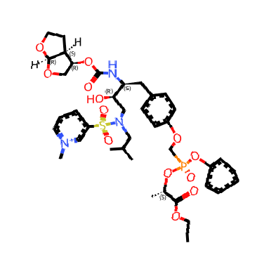 CCOC(=O)[C@H](C)OP(=O)(COc1ccc(C[C@H](NC(=O)O[C@H]2CO[C@H]3OCC[C@H]32)[C@H](O)CN(CC(C)C)S(=O)(=O)c2ccc[n+](C)c2)cc1)Oc1ccccc1